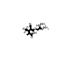 Cc1c(C(F)(F)F)c(C#N)c(SC/C(=N/N)NN)[nH]c1=O